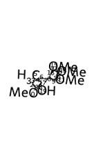 COC1=CCC(C)(CCc2cc(OC)c(OC)c(OC)c2)C=C1O